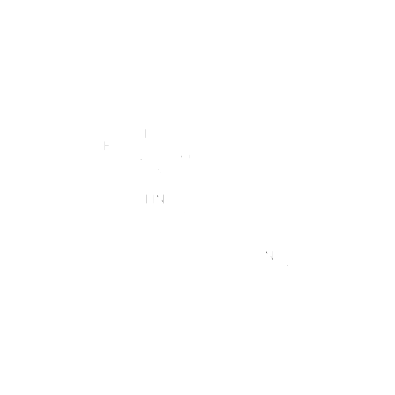 COc1cc(N)ccc1NC(=O)C(F)(F)F